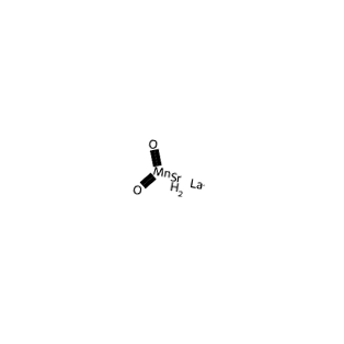 [La].[O]=[Mn]=[O].[SrH2]